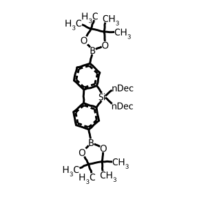 CCCCCCCCCC[Si]1(CCCCCCCCCC)c2cc(B3OC(C)(C)C(C)(C)O3)ccc2-c2ccc(B3OC(C)(C)C(C)(C)O3)cc21